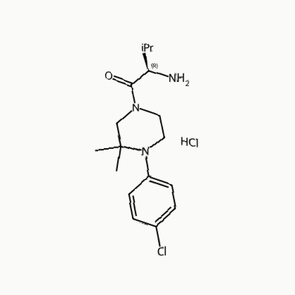 CC(C)[C@@H](N)C(=O)N1CCN(c2ccc(Cl)cc2)C(C)(C)C1.Cl